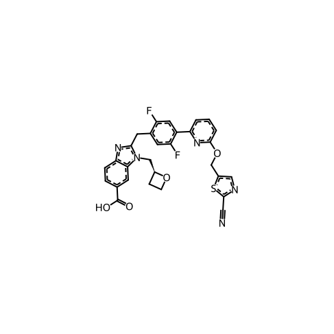 N#Cc1ncc(COc2cccc(-c3cc(F)c(Cc4nc5ccc(C(=O)O)cc5n4C[C@@H]4CCO4)cc3F)n2)s1